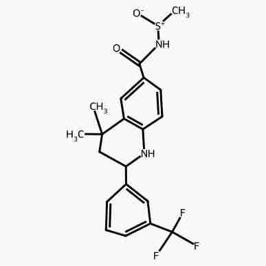 C[S+]([O-])NC(=O)c1ccc2c(c1)C(C)(C)CC(c1cccc(C(F)(F)F)c1)N2